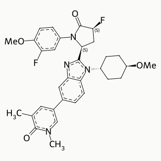 COc1ccc(N2C(=O)[C@@H](F)C[C@H]2c2nc3cc(-c4cc(C)c(=O)n(C)c4)ccc3n2[C@H]2CC[C@H](OC)CC2)cc1F